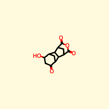 O=C1CC(O)C2CC1C1C3CC(C(=O)OC3=O)C21